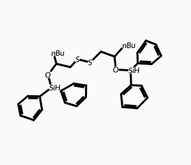 CCCCC(CSSCC(CCCC)O[SiH](c1ccccc1)c1ccccc1)O[SiH](c1ccccc1)c1ccccc1